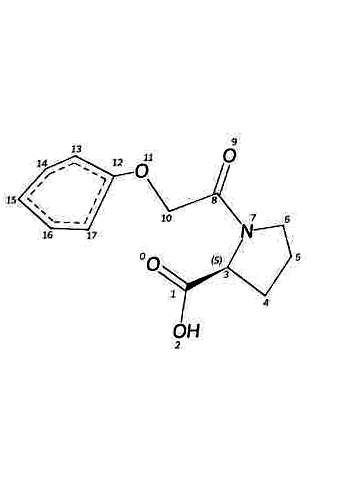 O=C(O)[C@@H]1CCCN1C(=O)COc1ccccc1